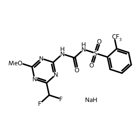 COc1nc(NC(=O)NS(=O)(=O)c2ccccc2C(F)(F)F)nc(C(F)F)n1.[NaH]